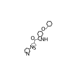 O=C(c1c[nH]c2cc(OCc3ccccc3)ccc12)C1CSN(c2cccnc2)C1